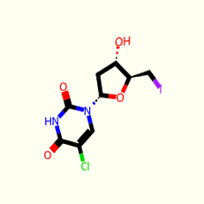 O=c1[nH]c(=O)n([C@@H]2C[C@H](O)[C@@H](CI)O2)cc1Cl